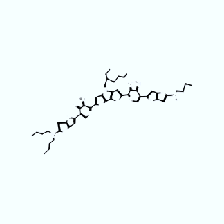 CCCCC(CC)Cn1c2cc(-c3ncc(-c4cc5sc(N(C)CCCC)cc5s4)c4nsnc34)sc2c2sc(-c3ncc(-c4cc5sc(N(CCCC)CCCC)cc5s4)c4nsnc34)cc21